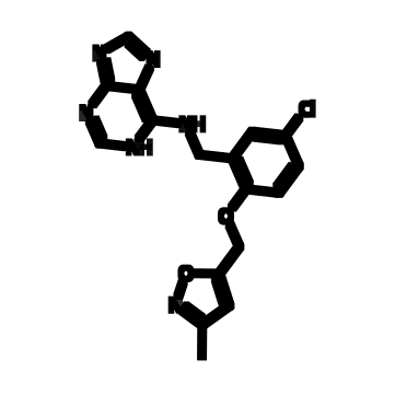 Cc1cc(COc2ccc(Cl)cc2CNc2[nH]cnc3ncnc2-3)on1